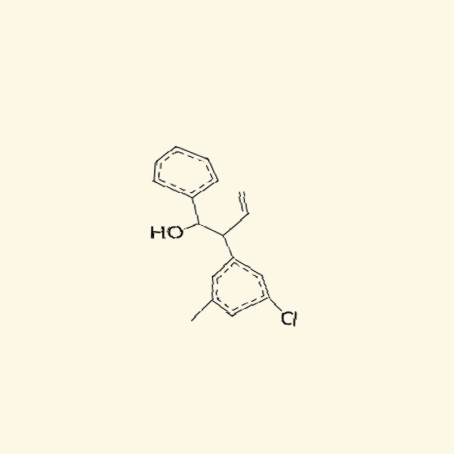 C=CC(c1cc(C)cc(Cl)c1)C(O)c1ccccc1